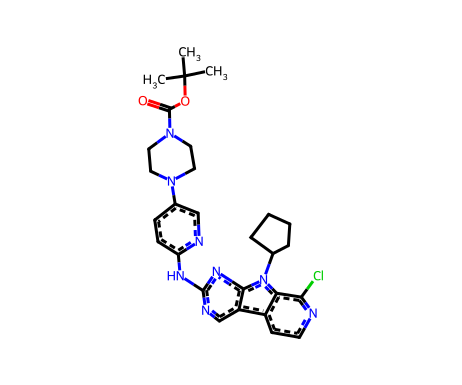 CC(C)(C)OC(=O)N1CCN(c2ccc(Nc3ncc4c5ccnc(Cl)c5n(C5CCCC5)c4n3)nc2)CC1